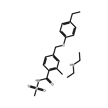 CCNCC.CCc1ccc(OCc2ccc(C(=O)NS(C)(=O)=O)c(C)c2)cc1